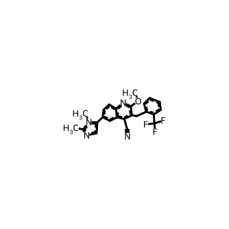 COc1nc2ccc(-c3cnc(C)n3C)cc2c(C#N)c1Cc1ccccc1C(F)(F)F